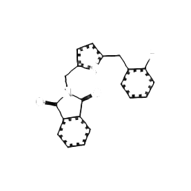 O=C1c2ccccc2C(=O)N1Cc1ccc(Cc2ccccc2F)s1